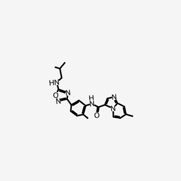 Cc1ccn2c(C(=O)Nc3cc(-c4noc(NCC(C)C)n4)ccc3C)cnc2c1